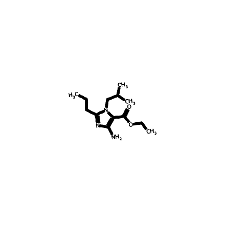 CCCc1nc(N)c(C(=O)OCC)n1CC(C)C